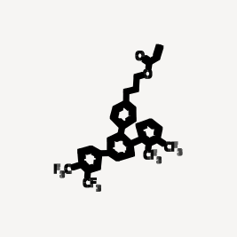 C=CC(=O)OCCCc1ccc(-c2cc(-c3ccc(C(F)(F)F)c(C(F)(F)F)c3)ccc2-c2cccc(C(F)(F)F)c2C(F)(F)F)cc1